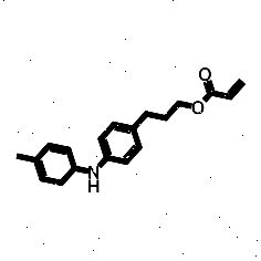 C=CC(=O)OCCCc1ccc(NC2C=CC(C)=CC2)cc1